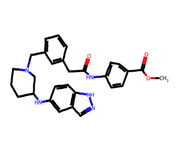 COC(=O)c1ccc(NC(=O)Cc2cccc(CN3CCCC(Nc4ccc5[nH]ncc5c4)C3)c2)cc1